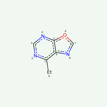 CCc1ncnc2ocnc12